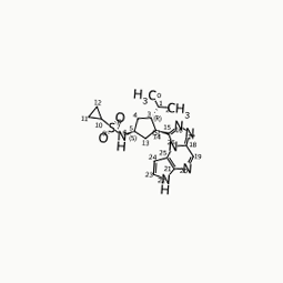 CC(C)[C@H]1C[C@H](NS(=O)(=O)C2CC2)C[C@@H]1c1nnc2cnc3[nH]ccc3n12